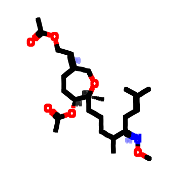 CO/N=C(/CC=C(C)C)C(C)CCC[C@]1(C)OC/C(=C/COC(C)=O)CC[C@H]1OC(C)=O